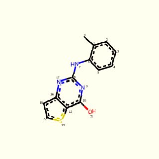 Cc1ccccc1Nc1nc(O)c2sccc2n1